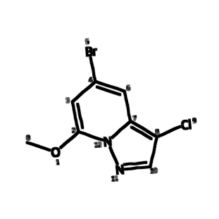 COc1cc(Br)cc2c(Cl)cnn12